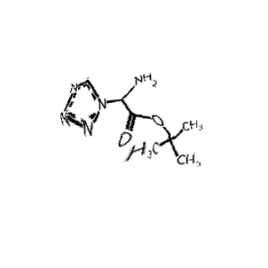 CC(C)(C)OC(=O)C(N)n1[c]nnn1